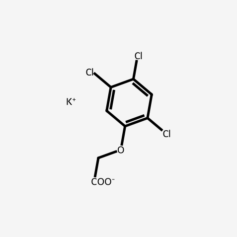 O=C([O-])COc1cc(Cl)c(Cl)cc1Cl.[K+]